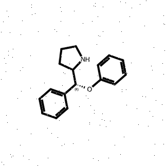 c1ccc(O[C@H](c2ccccc2)C2CCCN2)cc1